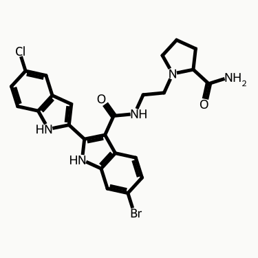 NC(=O)C1CCCN1CCNC(=O)c1c(-c2cc3cc(Cl)ccc3[nH]2)[nH]c2cc(Br)ccc12